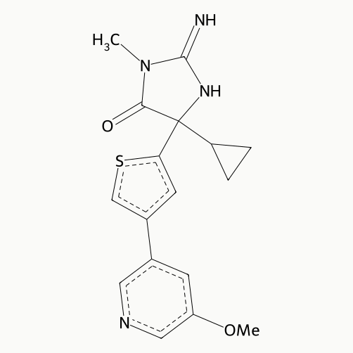 COc1cncc(-c2csc(C3(C4CC4)NC(=N)N(C)C3=O)c2)c1